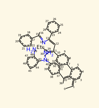 C/C=c1/cccc(-c2ccc(C(/C=C(\N=C(/C)c3ccccc3)c3ccccc3)=C(\C)CC)cc2)/c1=C(/C)c1ccc(N(N)c2ccccc2N)cc1